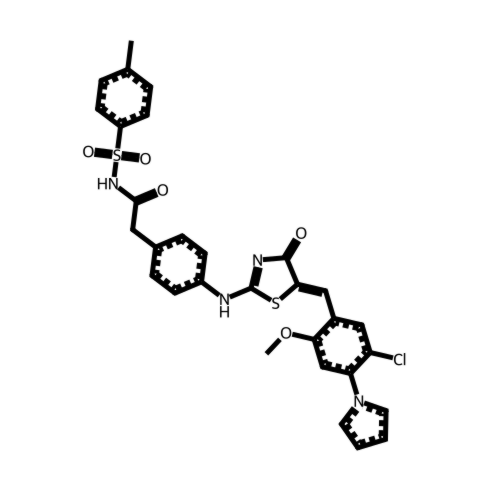 COc1cc(-n2cccc2)c(Cl)cc1C=C1SC(Nc2ccc(CC(=O)NS(=O)(=O)c3ccc(C)cc3)cc2)=NC1=O